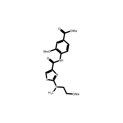 COCCN(C)c1nc(C(=O)Nc2ccc(C(=O)OC)cc2OC)cs1